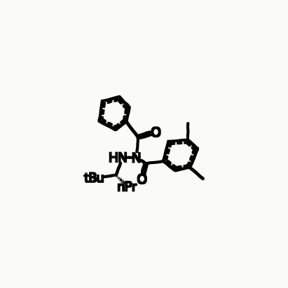 CCC[C@@H](NN(C(=O)c1ccccc1)C(=O)c1cc(C)cc(C)c1)C(C)(C)C